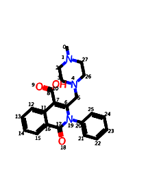 CN1CCN(Cc2c(C(=O)O)c3ccccc3c(=O)n2-c2ccccc2)CC1